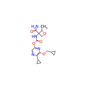 CC1OCC1(NC(=O)Oc1cnc(C2CC2)c(OCC2CC2)n1)C(N)=O